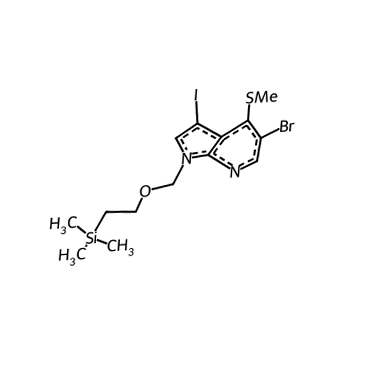 CSc1c(Br)cnc2c1c(I)cn2COCC[Si](C)(C)C